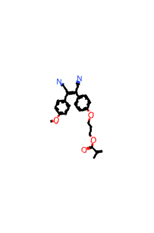 C=C(C)C(=O)OCCCOc1ccc(/C(C#N)=C(/C#N)c2ccc(OC)cc2)cc1